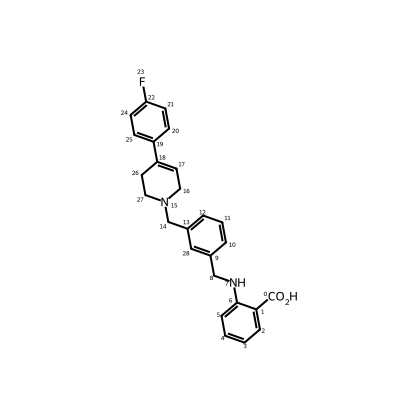 O=C(O)c1ccccc1NCc1cccc(CN2CC=C(c3ccc(F)cc3)CC2)c1